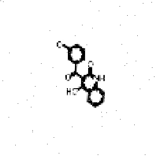 O=C(c1cccc(Cl)c1)c1c(O)c2ccccc2[nH]c1=O